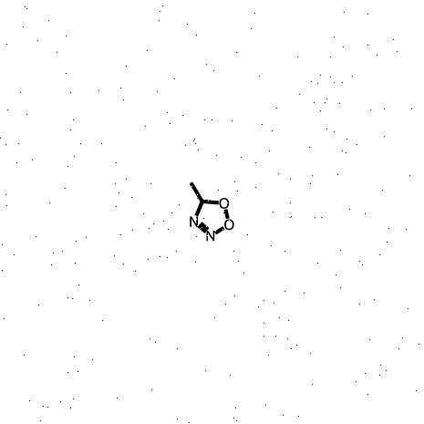 CC1N=NOO1